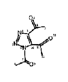 CC(=O)c1nnn(C(C)=O)c1C(C)=O